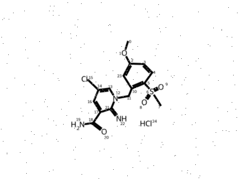 COc1ccc(S(C)(=O)=O)c(Cn2cc(Cl)cc(C(N)=O)c2=N)c1.Cl